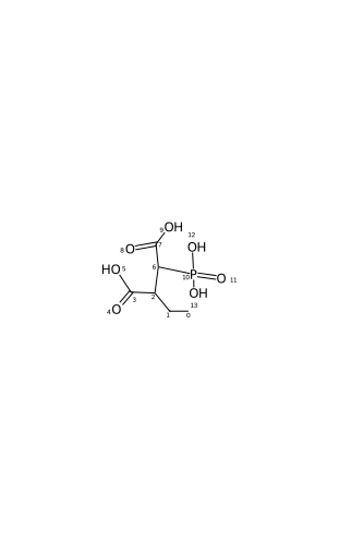 CCC(C(=O)O)C(C(=O)O)P(=O)(O)O